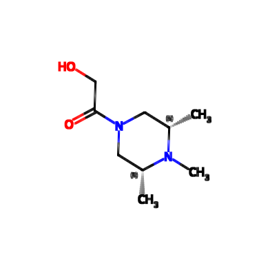 C[C@@H]1CN(C(=O)CO)C[C@H](C)N1C